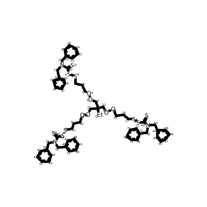 CCC(COOCCCSSC(=S)N(Cc1ccccc1)Cc1ccccc1)(COOCCCSSC(=S)N(Cc1ccccc1)Cc1ccccc1)COOCCCSSC(=S)N(Cc1ccccc1)Cc1ccccc1